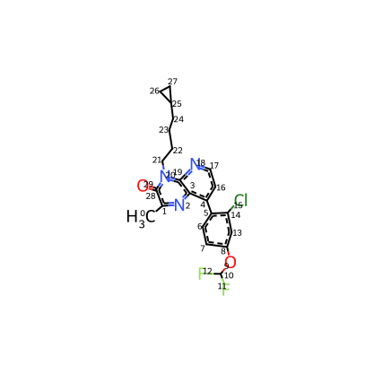 Cc1nc2c(-c3ccc(OC(F)F)cc3Cl)ccnc2n(CCCCC2CC2)c1=O